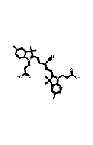 CC1=CC2C(C=C1)[N+](CCC(=O)O)=C(/C=C/C(C#N)=C/C=C1/N(CCC(=O)O)c3ccc(C)cc3C1(C)C)C2(C)C